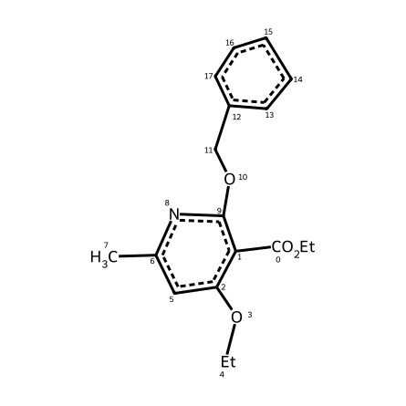 CCOC(=O)c1c(OCC)cc(C)nc1OCc1ccccc1